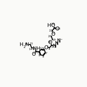 [N-]=[N+]=NC(COc1cccc(C(=O)NCCN)c1)OCCOCC(=O)O